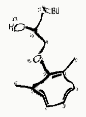 Cc1cccc(C)c1OCC(O)C(C)(C)C